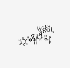 CC(C)(C)OC(=O)N1C[C@@H](NC(=O)OCc2ccccc2)C[C@H]1COC(F)F